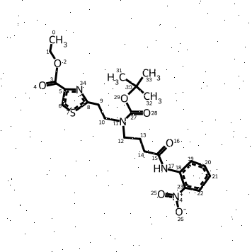 CCOC(=O)c1csc(CCN(CCCC(=O)Nc2ccccc2[N+](=O)[O-])C(=O)OC(C)(C)C)n1